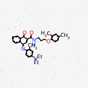 CCN(CC)c1ccc(N=C2C=C(C(=O)NCCCOc3ccc(C)cc3C)C(=O)c3ccccc32)c(C)c1